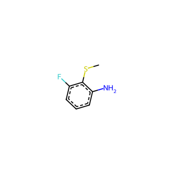 CSc1c(N)cccc1F